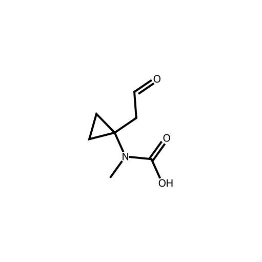 CN(C(=O)O)C1(CC=O)CC1